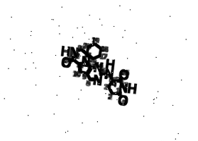 O=C1CC[C@H](Nc2ncc3cc4n(c3n2)C2(CCCCC2)CNC4=O)C(=O)N1